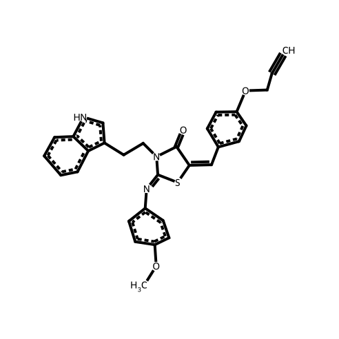 C#CCOc1ccc(/C=C2/S/C(=N\c3ccc(OC)cc3)N(CCc3c[nH]c4ccccc34)C2=O)cc1